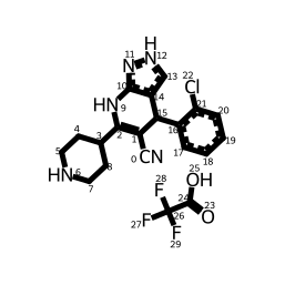 N#CC1=C(C2CCNCC2)Nc2n[nH]cc2C1c1ccccc1Cl.O=C(O)C(F)(F)F